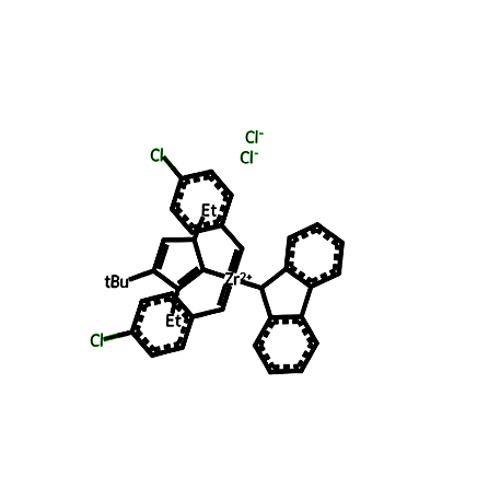 CCC1=[C]([Zr+2](=[CH]c2ccc(Cl)cc2)(=[CH]c2ccc(Cl)cc2)[CH]2c3ccccc3-c3ccccc32)C(CC)C=C1C(C)(C)C.[Cl-].[Cl-]